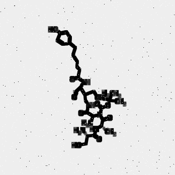 C[C@H](NC(=O)[C@@H](N)CO)C(=O)N(C(=O)OC(C)(C)C)[C@@H](C)C(=O)NCC(CO)[C@@H]([C]=O)NC(=O)CCCCCc1ccc(O)cc1